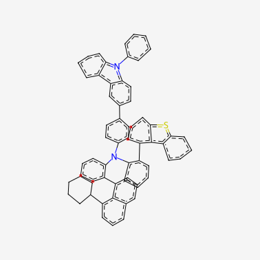 c1ccc(-n2c3ccccc3c3cc(-c4ccc(N(c5ccccc5-c5cccc6cccc(C7CCCCC7)c56)c5ccccc5-c5cccc6sc7ccccc7c56)cc4)ccc32)cc1